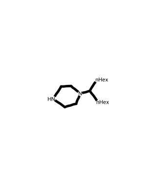 CCCCCCC(CCCCCC)N1CCNCC1